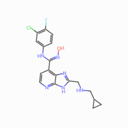 ON=C(Nc1ccc(F)c(Cl)c1)c1ccnc2[nH]c(CNCC3CC3)nc12